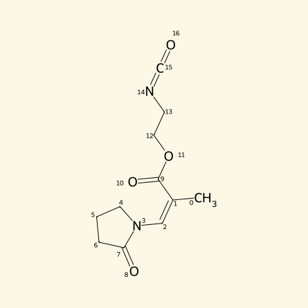 CC(=CN1CCCC1=O)C(=O)OCCN=C=O